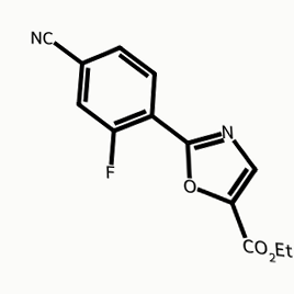 CCOC(=O)c1cnc(-c2ccc(C#N)cc2F)o1